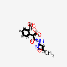 Cc1cc(NC(=O)C2C(=O)OB(O)c3ccccc32)no1